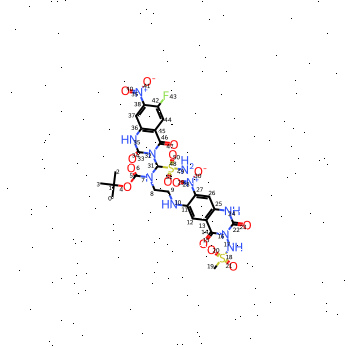 CC(C)(C)OC(=O)N(CCNc1cc2c(=O)n(NS(C)(=O)=O)c(=O)[nH]c2cc1[N+](=O)[O-])C(n1c(=O)[nH]c2cc([N+](=O)[O-])c(F)cc2c1=O)S(N)(=O)=O